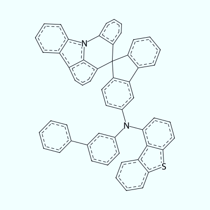 c1ccc(-c2cccc(N(c3ccc4c(c3)-c3ccccc3C43c4ccccc4-n4c5ccccc5c5cccc3c54)c3cccc4sc5ccccc5c34)c2)cc1